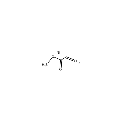 BOC(=O)C=C.[Ni]